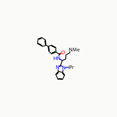 CNCCCC(NC(=O)c1ccc(-c2ccccc2)cc1)c1nc2ccccc2n1C(C)C